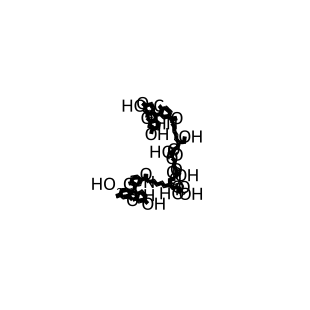 C=c1ccc2c(c1)Oc1cc(O)ccc1C=2c1cc(C(=O)NCCCCC(COP(=O)(O)O)COP(=O)(O)OCCOP(=O)(O)OCC(CO)CCCCNC(=O)c2ccc(C(=O)O)c(-c3c4ccc(=O)cc-4oc4cc(O)ccc34)c2)ccc1C(=O)O